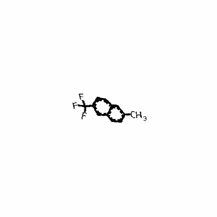 Cc1ccc2cc(C(F)(F)F)ccc2c1